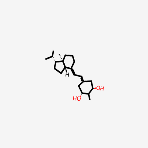 CC1[C@H](O)CC(=C/C=C2\CCC[C@]3(C)[C@@H](C(C)C)CC[C@@H]23)C[C@H]1O